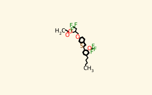 C=CC(=O)OCC(COc1ccc2cc(-c3ccc(CCCCC)cc3OC(F)(F)F)sc2c1)CC(F)(F)F